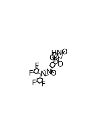 O=C1CCC(N2C(=O)c3ccc(C(=O)N4CCN(C(c5cc(F)cc(F)c5)c5cc(F)cc(F)c5)CC4)cc3C2=O)C(=O)N1